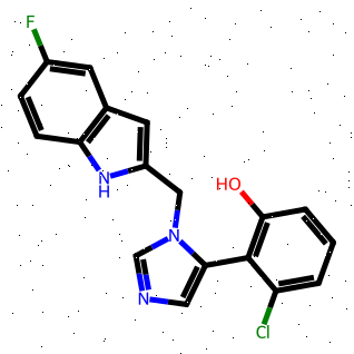 Oc1cccc(Cl)c1-c1cncn1Cc1cc2cc(F)ccc2[nH]1